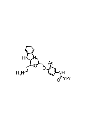 CCCC(=O)Nc1ccc(OCC(O)CN2c3ccccc3NC2CCCN)c(C(C)=O)c1